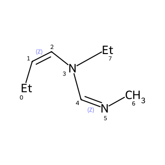 CC/C=C\N(/C=N\C)CC